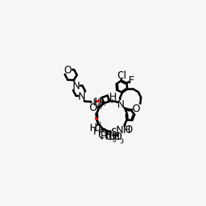 C[C@@H]1[C@@H](C)S(=O)(=O)NC(=O)c2ccc3c(c2)N(Cc2ccc(Cl)c(F)c2CCCCO3)C[C@@H]2CC[C@H]2[C@@H](OCCN2CCN(C3CCOCC3)CC2)C2=C[C@H]1C2